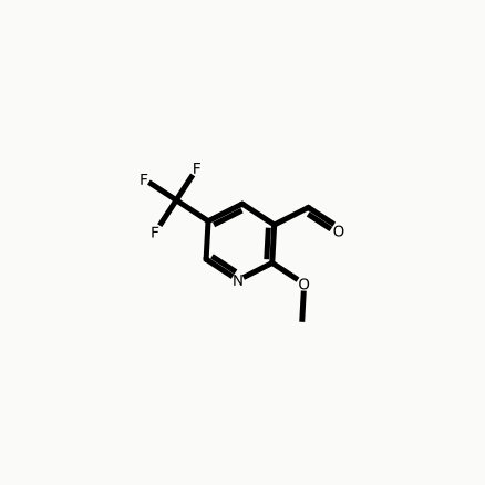 COc1ncc(C(F)(F)F)cc1C=O